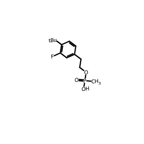 CC(C)(C)c1ccc(CCOP(C)(=O)O)cc1F